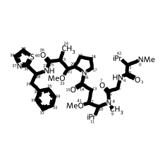 CNC(C(=O)NCC(=O)N(C)C(C(C)C)C(CC(=O)N1CCCC1C(OC)C(C)C(=O)NC(Cc1ccccc1)c1nccs1)OC)C(C)C